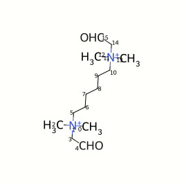 C[N+](C)(CC=O)CCCCCC[N+](C)(C)CC=O